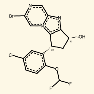 O[C@@H]1C[C@H](c2cc(Cl)ccc2OC(F)F)c2c1nc1cnc(Br)cn21